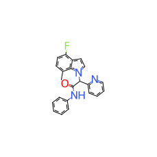 Cc1ccc(F)c2ccn(C(C(=O)Nc3ccccc3)c3ccccn3)c12